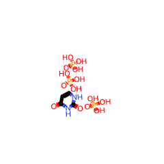 O=P(O)(O)O.O=P(O)(O)O.O=P(O)(O)O.O=c1cc[nH]c(=O)[nH]1